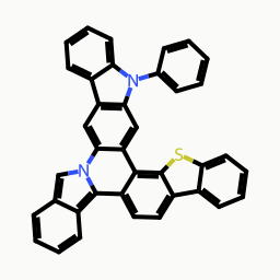 c1ccc(-n2c3ccccc3c3cc4c(cc32)c2c(ccc3c5ccccc5sc32)c2c3ccccc3cn42)cc1